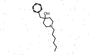 CCCCCCN1CCC(O)(Cc2ccccc2)CC1